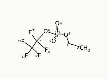 CCOS(=O)(=O)OC(F)(F)C(F)(F)F